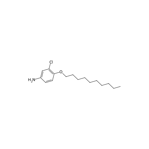 CCCCCCCCCCOc1ccc(N)cc1Cl